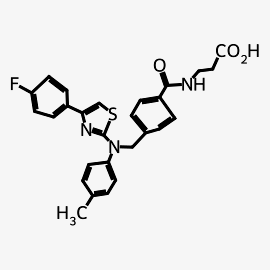 Cc1ccc(N(Cc2ccc(C(=O)NCCC(=O)O)cc2)c2nc(-c3ccc(F)cc3)cs2)cc1